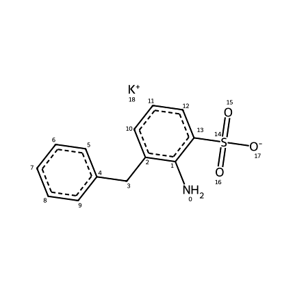 Nc1c(Cc2ccccc2)cccc1S(=O)(=O)[O-].[K+]